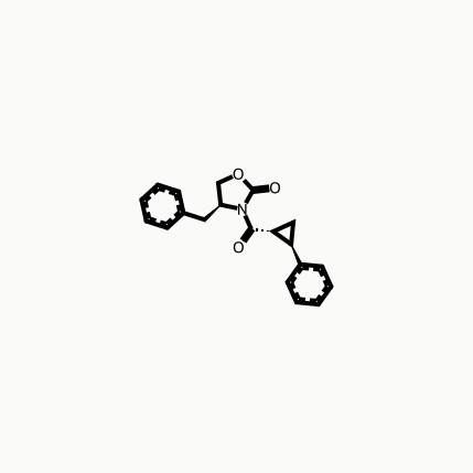 O=C1OC[C@H](Cc2ccccc2)N1C(=O)[C@@H]1C[C@H]1c1ccccc1